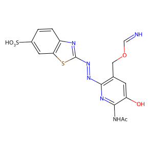 CC(=O)Nc1nc(N=Nc2nc3ccc(S(=O)(=O)O)cc3s2)c(COC=N)cc1O